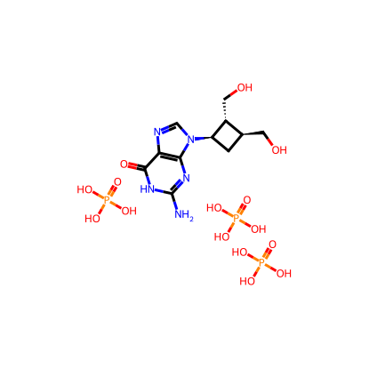 Nc1nc2c(ncn2[C@@H]2C[C@H](CO)[C@H]2CO)c(=O)[nH]1.O=P(O)(O)O.O=P(O)(O)O.O=P(O)(O)O